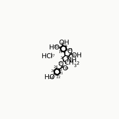 C[C@H](CC(c1ccc(O)c(O)c1)[C@H](N)C(=O)O)OC(=O)c1ccc(O)cc1.Cl